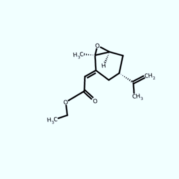 C=C(C)[C@@H]1C/C(=C\C(=O)OCC)[C@@]2(C)O[C@H]2C1